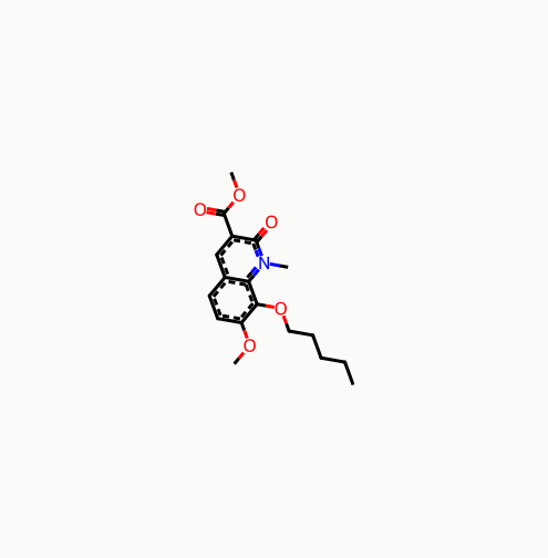 CCCCCOc1c(OC)ccc2cc(C(=O)OC)c(=O)n(C)c12